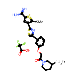 CCOC(=O)C1CCCN(C(=O)COc2cccc(-c3csc(-c4cc(C(=N)N)sc4SC)n3)c2)C1.O=C(O)C(F)(F)F